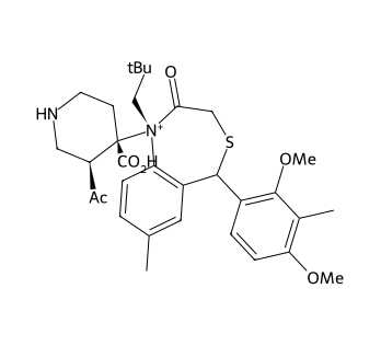 COc1ccc(C2SCC(=O)[N@@+](CC(C)(C)C)([C@@]3(C(=O)O)CCNC[C@@H]3C(C)=O)c3ccc(C)cc32)c(OC)c1C